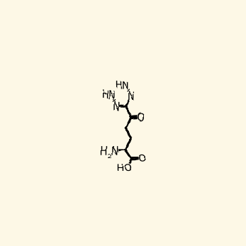 N=NC(N=N)C(=O)CC[C@H](N)C(=O)O